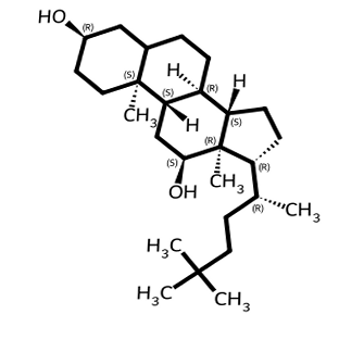 C[C@H](CCC(C)(C)C)[C@H]1CC[C@H]2[C@@H]3CCC4C[C@H](O)CC[C@]4(C)[C@H]3C[C@H](O)[C@]12C